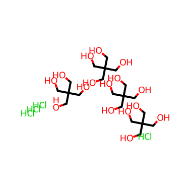 Cl.Cl.Cl.Cl.OCC(CO)(CO)CO.OCC(CO)(CO)CO.OCC(CO)(CO)CO.OCC(CO)(CO)CO